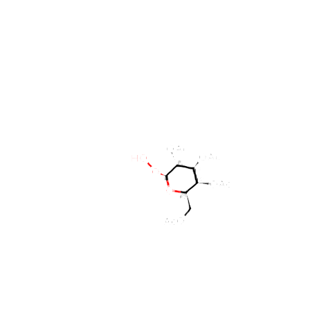 CC(=O)OC[C@H]1O[C@@H](OO)[C@H](OC(C)=O)[C@@H](OC(C)=O)[C@H]1OC(C)=O